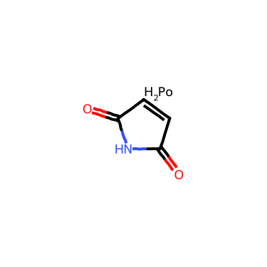 O=C1C=CC(=O)N1.[PoH2]